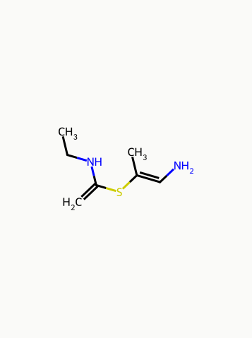 C=C(NCC)S/C(C)=C/N